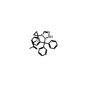 C=C(C)COC1(N2C=NNN2C(c2ccccc2)(c2ccccc2)c2ccccc2)CC1